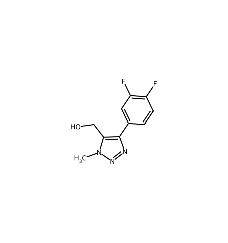 Cn1nnc(-c2ccc(F)c(F)c2)c1CO